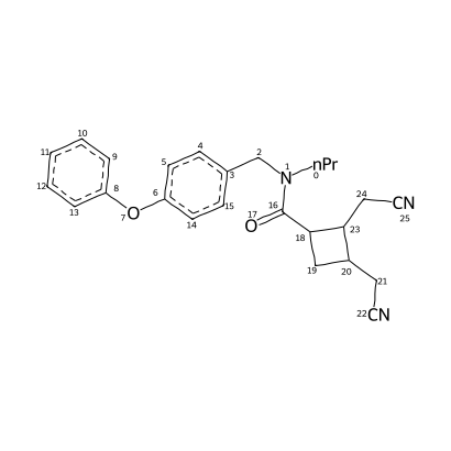 CCCN(Cc1ccc(Oc2ccccc2)cc1)C(=O)C1CC(CC#N)C1CC#N